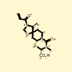 C=CC(=O)N1COC2(CCN(C(=O)N(C)[C@H](C(=O)O)C(C)C)CC2)[C@@H]1C